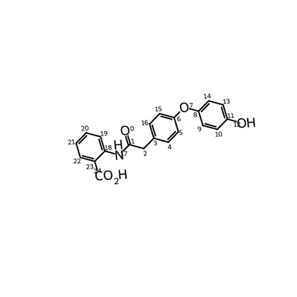 O=C(Cc1ccc(Oc2ccc(O)cc2)cc1)Nc1ccccc1C(=O)O